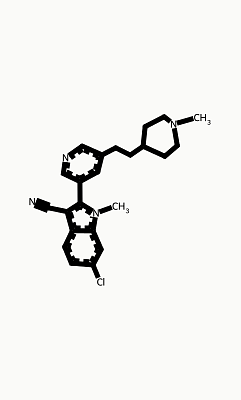 CN1CCC(CCc2cncc(-c3c(C#N)c4ccc(Cl)cc4n3C)c2)CC1